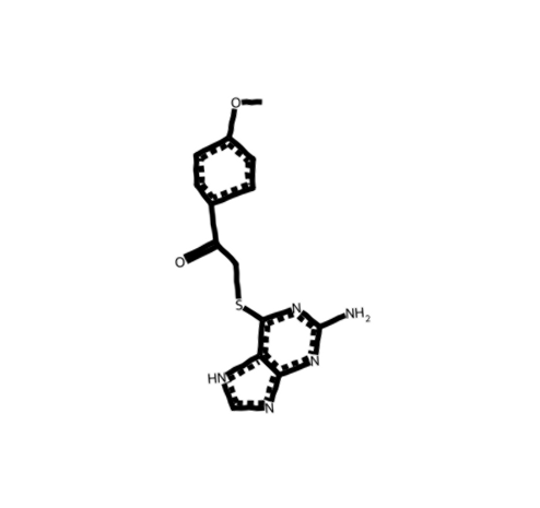 COc1ccc(C(=O)CSc2nc(N)nc3nc[nH]c23)cc1